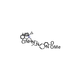 COC(=O)c1ccc2c(n1)CC=CC(N1CCN(CC/C(C(=N)c3c(Cl)cccc3Cl)=C(/O)C3CC3)C(C)C1)=C2